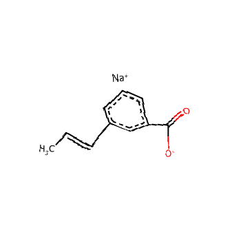 CC=Cc1cccc(C(=O)[O-])c1.[Na+]